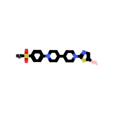 Bc1cnc(N2CCC(C3CCN(c4ccc(S(C)(=O)=O)cc4)CC3)CC2)s1